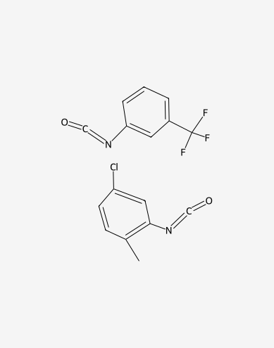 Cc1ccc(Cl)cc1N=C=O.O=C=Nc1cccc(C(F)(F)F)c1